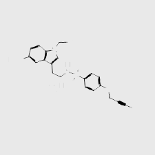 CC#CCOc1ccc(S(=O)(=O)N[C@@H](Cc2cn(CC(C)C)c3ccc(C)cc23)C(=O)O)cc1